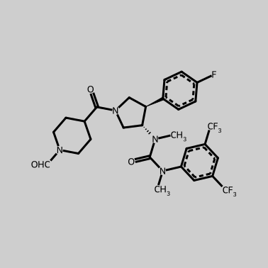 CN(C(=O)N(C)[C@@H]1CN(C(=O)C2CCN(C=O)CC2)C[C@H]1c1ccc(F)cc1)c1cc(C(F)(F)F)cc(C(F)(F)F)c1